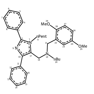 CCCCCn1c(-c2ccccc2)nc(-c2ccccc2)c1CN(CCCC)Cc1cc(OC)ccc1OC